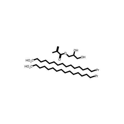 C=C(C)C(=O)OCC(O)CO.CC(C)CCCCCCCCCCCCCCC(=O)O.CC(C)CCCCCCCCCCCCCCC(=O)O